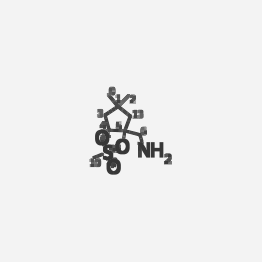 CC1(C)CCC(CN)(OS(C)(=O)=O)C1